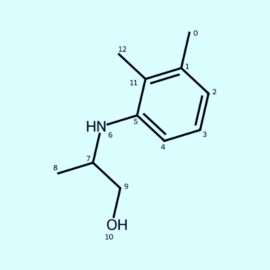 Cc1cccc(NC(C)CO)c1C